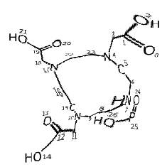 O=C(O)CN1CCNCCN(CC(=O)O)CCN(CC(=O)O)CC1.O=PO